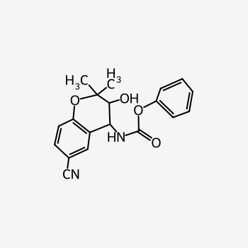 CC1(C)Oc2ccc(C#N)cc2C(NC(=O)Oc2ccccc2)C1O